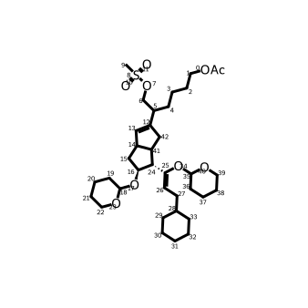 CC(=O)OCCCCC(COS(C)(=O)=O)C1=CC2C[C@H](OC3CCCCO3)[C@@H](C(=CCC3CCCCC3)OC3CCCCO3)C2C1